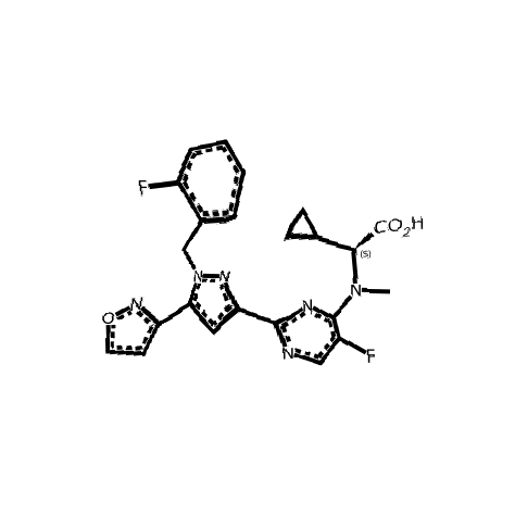 CN(c1nc(-c2cc(-c3ccon3)n(Cc3ccccc3F)n2)ncc1F)[C@H](C(=O)O)C1CC1